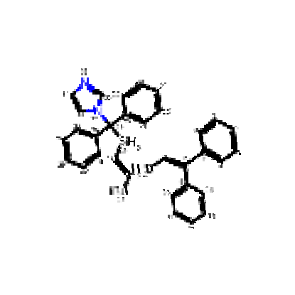 BC=C(c1ccccc1)c1ccccc1.CCC(C)C=C[SiH2]C(c1ccccc1)(c1ccccc1)n1ccnc1